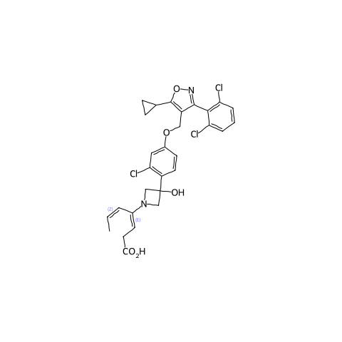 C/C=C\C(=C/CC(=O)O)N1CC(O)(c2ccc(OCc3c(-c4c(Cl)cccc4Cl)noc3C3CC3)cc2Cl)C1